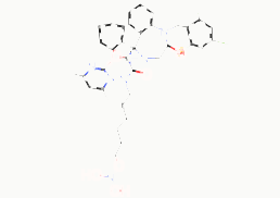 Cc1cc(C)nc(O[C@H](C(=O)NCCCCCCON(O)O)[C@@]2(c3ccccc3)NCC(=O)N(Cc3c(F)cc(F)cc3F)c3ccccc32)n1